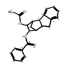 CC(C)(C)C(=O)OC1C2CC(C3Cc4ccccc4C32)C1OC(=O)c1ccccc1